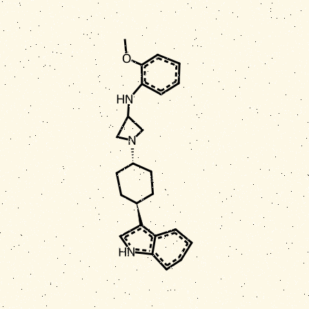 COc1ccccc1NC1CN([C@H]2CC[C@H](c3c[nH]c4ccccc43)CC2)C1